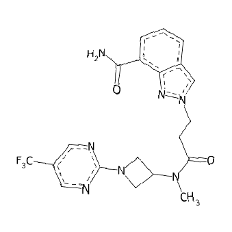 CN(C(=O)CCn1cc2cccc(C(N)=O)c2n1)C1CN(c2ncc(C(F)(F)F)cn2)C1